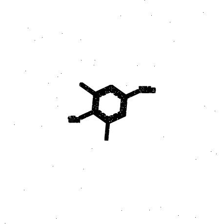 CNc1cc(C)c(C(C)(C)C)c(C)c1